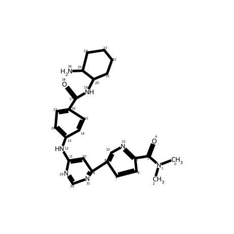 CN(C)C(=O)c1ccc(-c2cc(Nc3ccc(C(=O)NC4CCCCC4N)cc3)ncn2)cn1